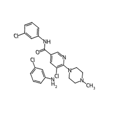 CN1CCN(c2ncc(C(=O)Nc3cccc(Cl)c3)cc2Cl)CC1.Nc1cccc(Cl)c1